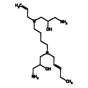 C=CCN(CCCCN(CC=CCC)CC(O)CN)CC(O)CN